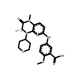 COc1ccc(Nc2ccc3c(n2)N(C2CCOCC2)[C@H](C)C(=O)N3C)cc1C(=O)O